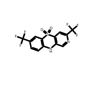 O=S1(=O)c2cc(C(F)(F)F)ccc2Nc2cnc(C(F)(F)F)cc21